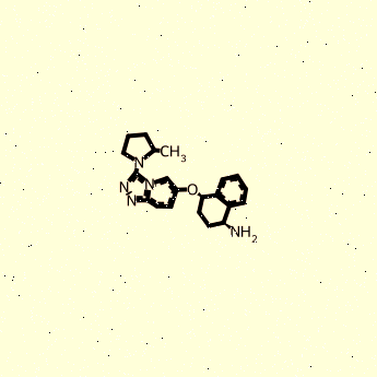 CC1CCCN1c1nnc2ccc(O[C@@H]3CC[C@H](N)c4ccccc43)cn12